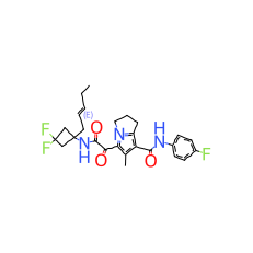 CC/C=C/CC1(NC(=O)C(=O)c2c(C)c(C(=O)Nc3ccc(F)cc3)c3n2CCC3)CC(F)(F)C1